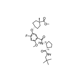 COc1cc(F)c(O[C@H]2CC[C@@](C)(C(=O)OC)CC2)cc1C(=O)N[C@@H]1CCC[C@@H]1C(=O)NCC(C)(C)C